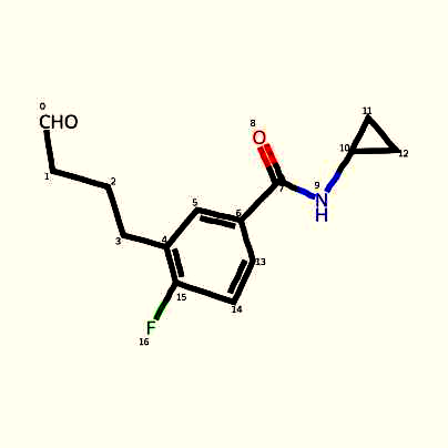 O=CCCCc1cc(C(=O)NC2CC2)ccc1F